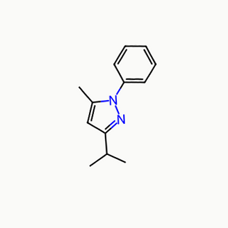 Cc1cc(C(C)C)nn1-c1ccccc1